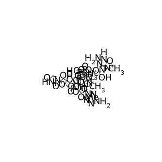 [BH3-]P(=O)(OC[C@H]1O[C@@H](n2c[n+](C)c3c(=O)[nH]c(N)nc32)[C@H](O)[C@@H]1CC(=O)N(C)C)OP(=O)(O)OP(=O)(O)OC[C@H]1O[C@@H](n2cnc3c(N)ncnc32)[C@H](OC)[C@@H]1OP(=O)(O)OC[C@H]1O[C@@H](n2ccc(=O)[nH]c2=O)[C@H](O)[C@@H]1O